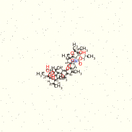 CCCOC(=O)NC1C=C[C@]2(O[C@H](C(CC)C(=O)[C@@H](C)[C@@H](O)C3(C)C[C@]34O[C@@H]([C@@H](CC)C(=O)O)CC[C@@H]4C)[C@@H](C)C[C@H]2C)O[C@@]12CC[C@@](C)([C@H]1CC[C@](O)(CC)[C@H](C)O1)O2